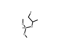 CO[SiH](OC)OC(C)CF